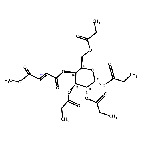 CCC(=O)OC[C@H]1O[C@H](OC(=O)CC)[C@H](OC(=O)CC)[C@@H](OC(=O)CC)[C@H]1OC(=O)/C=C/C(=O)OC